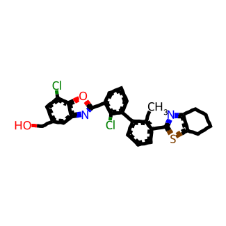 Cc1c(-c2nc3c(s2)CCCC3)cccc1-c1cccc(-c2nc3cc(CO)cc(Cl)c3o2)c1Cl